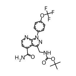 CC(C)(C)OC(=O)NCc1nn(-c2ccc(OC(F)(F)F)cc2)c2nccc(C(N)=O)c12